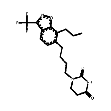 CCCc1c(CCCCN2CCC(=O)NC2=O)ccc2c(C(F)(F)F)noc12